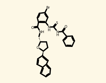 O=C(NC(=S)Nc1cc(Br)ccc1C(=O)NC[C@@H]1CC[C@@H](c2ccc3ccccc3c2)O1)c1ccccc1